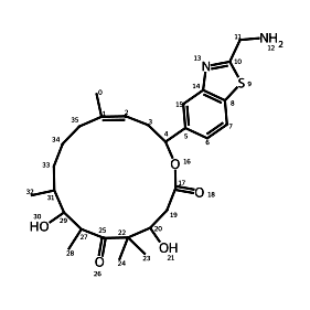 CC1=CCC(c2ccc3sc(CN)nc3c2)OC(=O)CC(O)C(C)(C)C(=O)C(C)C(O)C(C)CCC1